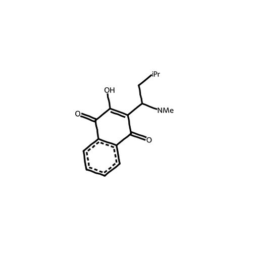 CNC(CC(C)C)C1=C(O)C(=O)c2ccccc2C1=O